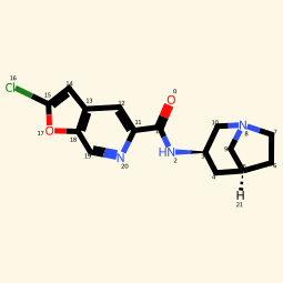 O=C(N[C@@H]1C[C@@H]2CCN(C2)C1)c1cc2cc(Cl)oc2cn1